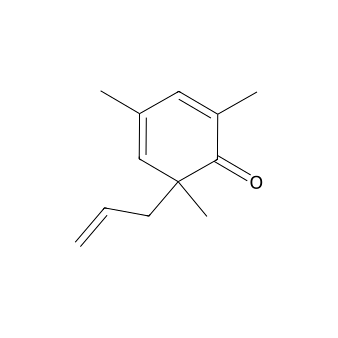 C=CCC1(C)C=C(C)C=C(C)C1=O